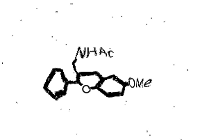 COc1ccc2c(c1)C=C(CNC(C)=O)C(c1ccccc1)O2